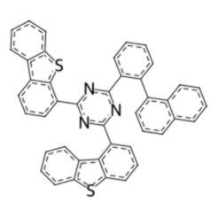 c1ccc(-c2cccc3ccccc23)c(-c2nc(-c3cccc4c3sc3ccccc34)nc(-c3cccc4sc5ccccc5c34)n2)c1